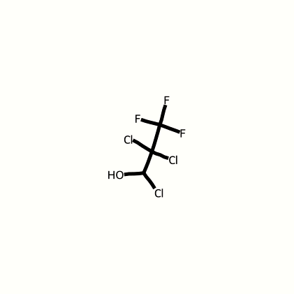 OC(Cl)C(Cl)(Cl)C(F)(F)F